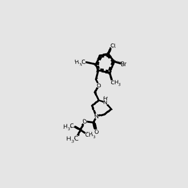 Cc1cc(Cl)c(Br)c(C)c1COCC1CN(C(=O)OC(C)(C)C)CCN1